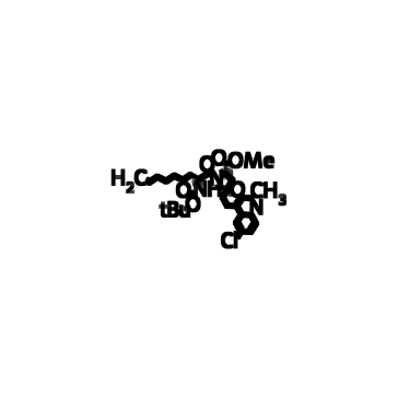 C=CCCCCC[C@H](NC(=O)OC(C)(C)C)C(=O)N1C[C@@]2(CCC3=C(O2)C(C)=NC2C=CC(Cl)=CC32)C[C@H]1C(=O)OC